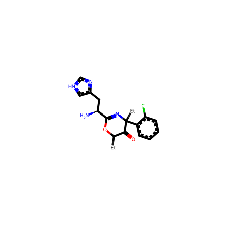 CCC1OC([C@@H](N)Cc2c[nH]cn2)=NC(CC)(c2ccccc2Cl)C1=O